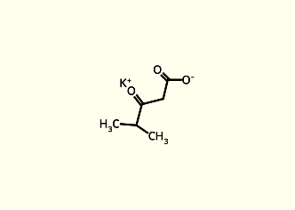 CC(C)C(=O)CC(=O)[O-].[K+]